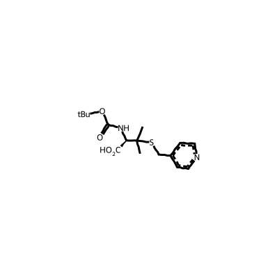 CC(C)(C)OC(=O)N[C@H](C(=O)O)C(C)(C)SCc1ccncc1